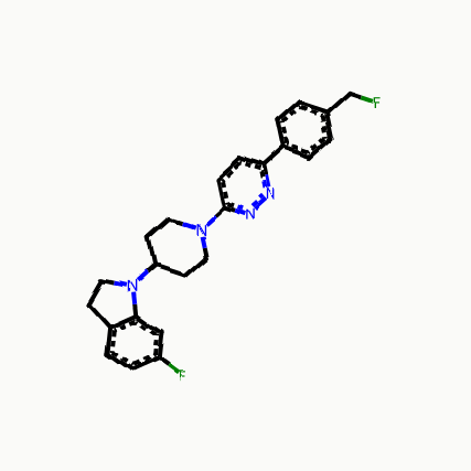 FCc1ccc(-c2ccc(N3CCC(N4CCc5ccc(F)cc54)CC3)nn2)cc1